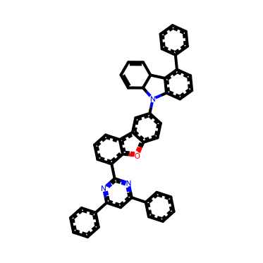 C1=CC2c3c(-c4ccccc4)cccc3N(c3ccc4oc5c(-c6nc(-c7ccccc7)cc(-c7ccccc7)n6)cccc5c4c3)C2C=C1